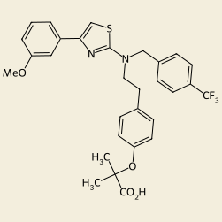 COc1cccc(-c2csc(N(CCc3ccc(OC(C)(C)C(=O)O)cc3)Cc3ccc(C(F)(F)F)cc3)n2)c1